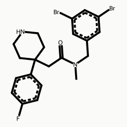 CN(Cc1cc(Br)cc(Br)c1)C(=O)CC1(c2ccc(F)cc2)CCNCC1